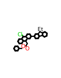 CCC1c2ccccc2-c2ccc(-c3ccc4c(Cl)c5ccccc5c(CC(=O)OCc5ccccc5)c4c3)cc21